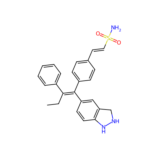 CC/C(=C(/c1ccc(/C=C/S(N)(=O)=O)cc1)c1ccc2c(c1)CNN2)c1ccccc1